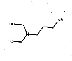 CCCCCCCN(CO)CO